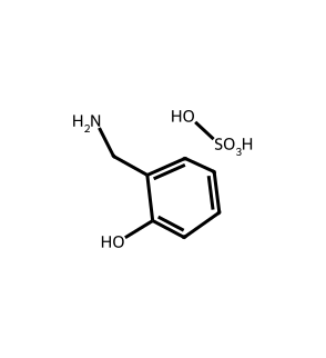 NCc1ccccc1O.O=S(=O)(O)O